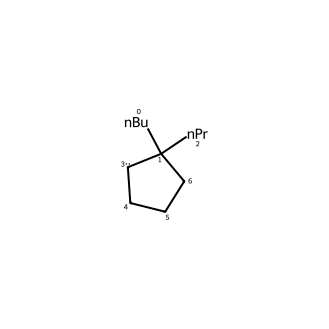 CCCCC1(CCC)[C]CCC1